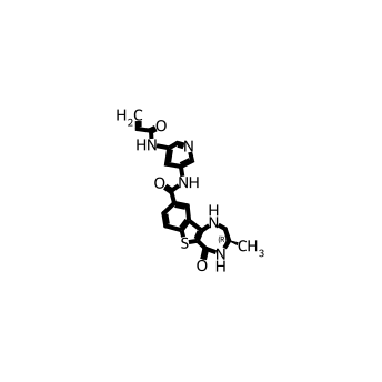 C=CC(=O)Nc1cncc(NC(=O)c2ccc3sc4c(c3c2)NC[C@@H](C)NC4=O)c1